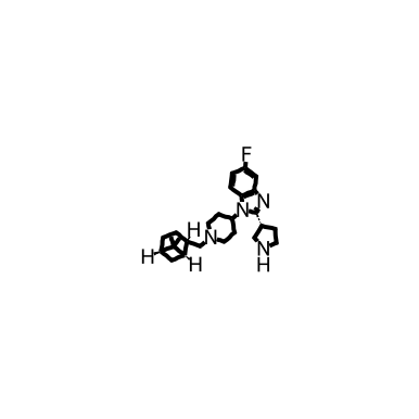 CC1(C)[C@H]2CC[C@@H](CN3CCC(n4c([C@@H]5CCNC5)nc5cc(F)ccc54)CC3)[C@H]1C2